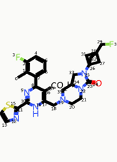 Cc1c(F)cccc1C1N=C(c2nccs2)NC(CN2CCN3C(=O)N(C45CC(CF)(C4)C5)CC3C2)=C1C(=O)O